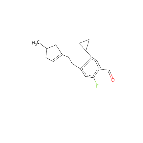 CC1CC=C(CCc2cc(F)c(C=O)cc2C2CC2)C1